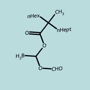 BC(OC=O)OC(=O)C(C)(CCCCCC)CCCCCCC